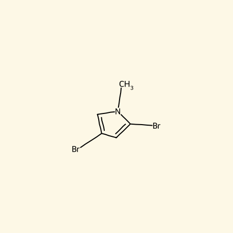 Cn1cc(Br)cc1Br